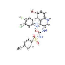 CC(C)(C)c1ccc(S(=O)(=O)NC(=O)Nc2cnc3ccc(Br)cc3c2Nc2ccc(F)c(Cl)c2)cc1